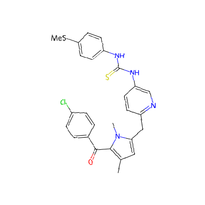 CSc1ccc(NC(=S)Nc2ccc(Cc3cc(C)c(C(=O)c4ccc(Cl)cc4)n3C)nc2)cc1